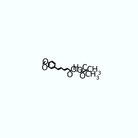 CC(C)(C)C(=O)OCOC(=O)/C=C/C=C/c1ccc2c(c1)OCO2